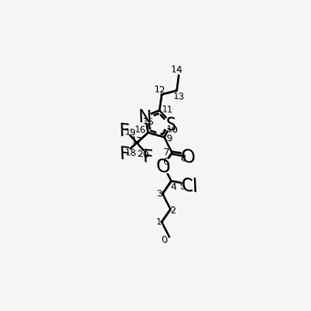 CCCCC(Cl)OC(=O)c1sc(CCC)nc1C(F)(F)F